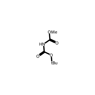 COC(=O)NC(=O)OC(C)(C)C